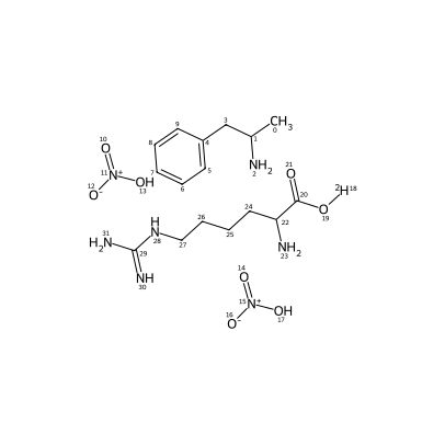 CC(N)Cc1ccccc1.O=[N+]([O-])O.O=[N+]([O-])O.[2H]OC(=O)C(N)CCCCNC(=N)N